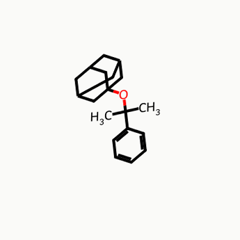 CC(C)(OC12CC3CC(CC(C3)C1)C2)c1ccccc1